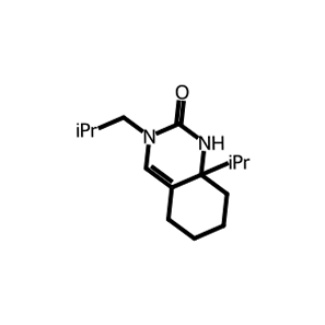 CC(C)CN1C=C2CCCCC2(C(C)C)NC1=O